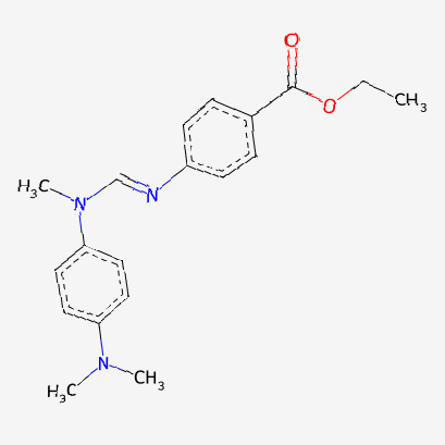 CCOC(=O)c1ccc(N=CN(C)c2ccc(N(C)C)cc2)cc1